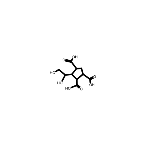 O=C(O)C1CC(C(=O)O)C(C(O)CO)C1C(=O)O